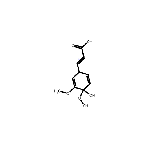 COC1=CC(/C=C/C(=O)O)C=CC1(O)OC